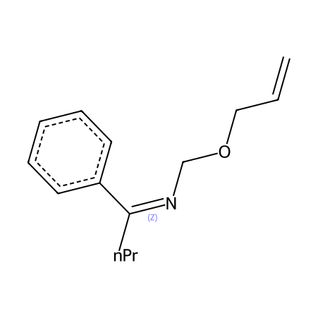 C=CCOC/N=C(/CCC)c1ccccc1